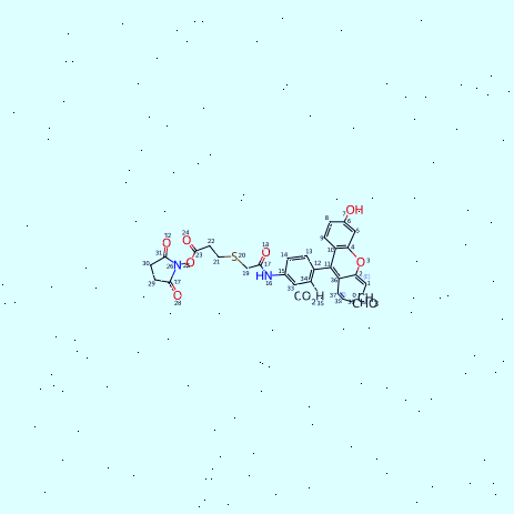 C/C=C1/Oc2cc(O)ccc2C(c2ccc(NC(=O)CSCCC(=O)ON3C(=O)CCC3=O)cc2C(=O)O)=C1/C=C\C=O